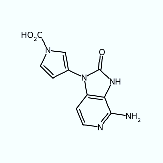 Nc1nccc2c1[nH]c(=O)n2-c1ccn(C(=O)O)c1